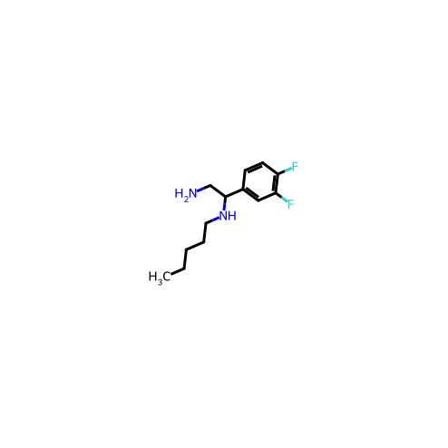 CCCCCNC(CN)c1ccc(F)c(F)c1